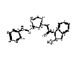 CC1Cc2ccccc2N1C(=O)CN1CCO[C@@H](COc2ccccn2)C1